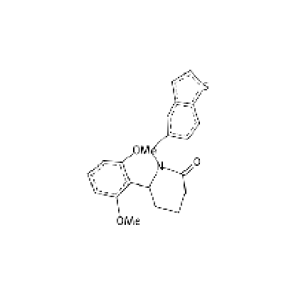 COc1cccc(OC)c1C1CCCC(=O)N1Cc1ccc2sccc2c1